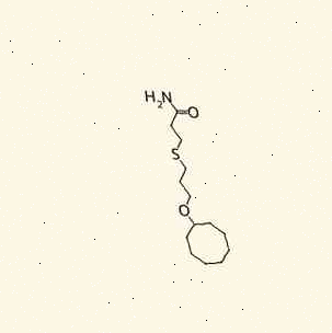 NC(=O)CCSCCCOC1CCCCCCC1